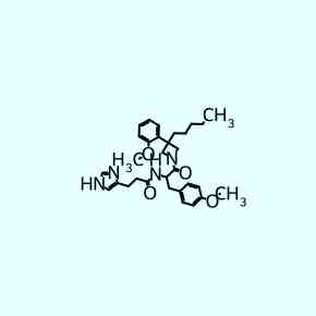 CCCCCC1(c2ccccc2OC)CN(C(=O)C(Cc2ccc(OC)cc2)NC(=O)CCc2c[nH]cn2)C1